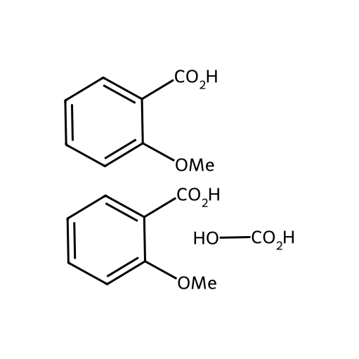 COc1ccccc1C(=O)O.COc1ccccc1C(=O)O.O=C(O)O